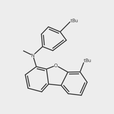 CN(c1ccc(C(C)(C)C)cc1)c1cccc2c1oc1c(C(C)(C)C)cccc12